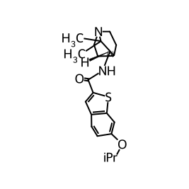 CC(C)Oc1ccc2cc(C(=O)N[C@H]3C4CCN(CC4)C3(C)C)sc2c1